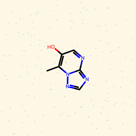 Cc1c(O)cnc2ncnn12